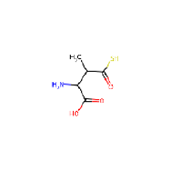 CC(C(=O)S)C(N)C(=O)O